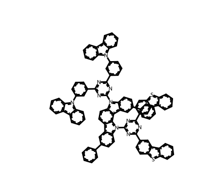 c1ccc(-c2ccc3c(c2)c2c(ccc4c5cc(-c6ccccc6)ccc5n(-c5nc(-c6ccc7sc8ccccc8c7c6)nc(-c6ccc7sc8ccccc8c7c6)n5)c42)n3-c2nc(-c3cccc(-n4c5ccccc5c5ccccc54)c3)nc(-c3cccc(-n4c5ccccc5c5ccccc54)c3)n2)cc1